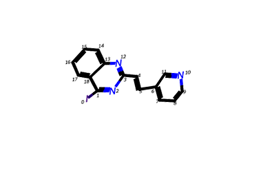 Ic1nc(/C=C/c2cccnc2)nc2ccccc12